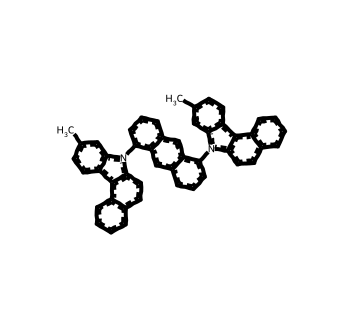 Cc1ccc2c3c4ccccc4ccc3n(-c3cccc4cc5c(-n6c7cc(C)ccc7c7c8ccccc8ccc76)cccc5cc34)c2c1